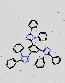 c1ccc(-c2nnc(-c3cc(-c4nnc(-c5ccccc5)n4-c4ccccc4)cc(-c4nnc(-c5ccccc5)n4-c4ccccc4)c3)n2-c2ccccc2)cc1